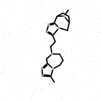 Cc1nnc2n1CCCN(CCc1nnc3n1CC1CCC3N1C)C2